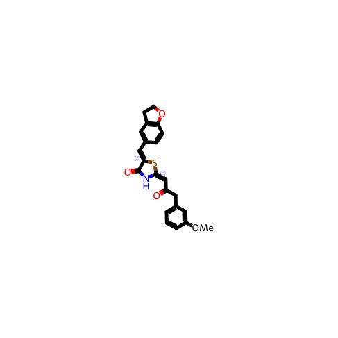 COc1cccc(CC(=O)/C=c2\[nH]c(=O)/c(=C/c3ccc4c(c3)CCO4)s2)c1